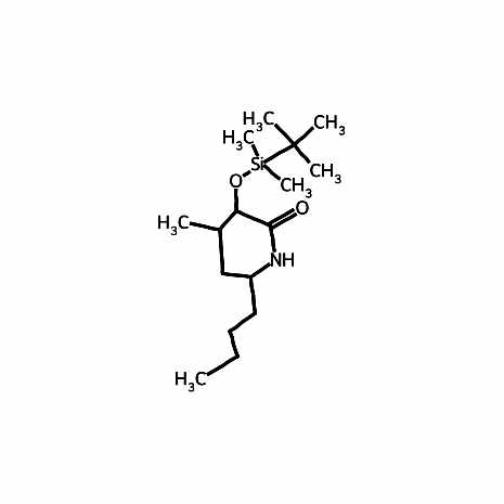 CCCCC1CC(C)C(O[Si](C)(C)C(C)(C)C)C(=O)N1